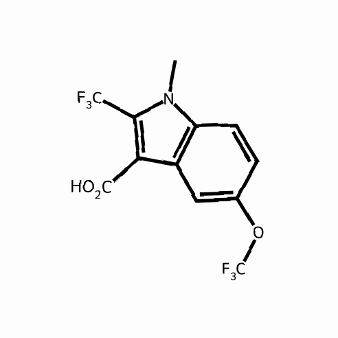 Cn1c(C(F)(F)F)c(C(=O)O)c2cc(OC(F)(F)F)ccc21